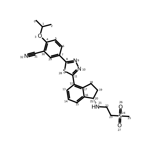 CC(C)Oc1ccc(-c2nnc(-c3cccc4c3CC[C@@H]4NCCS(C)(=O)=O)s2)cc1C#N